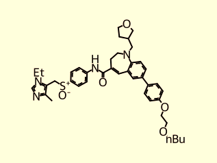 CCCCOCCOc1ccc(-c2ccc3c(c2)C=C(C(=O)Nc2ccc([S+]([O-])Cc4c(C)ncn4CC)cc2)CCN3CC2CCOC2)cc1